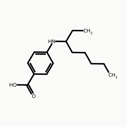 CCCCCC(CC)Nc1ccc(C(=O)O)cc1